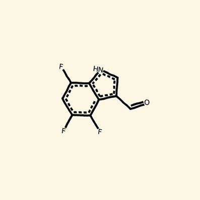 O=Cc1c[nH]c2c(F)cc(F)c(F)c12